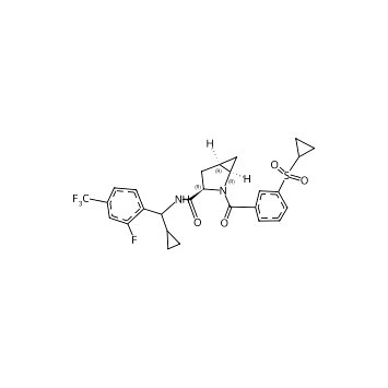 O=C(NC(c1ccc(C(F)(F)F)cc1F)C1CC1)[C@H]1C[C@H]2C[C@H]2N1C(=O)c1cccc(S(=O)(=O)C2CC2)c1